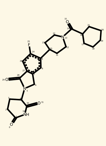 O=C1CCC(N2Cc3cc(C4CCN(C(=O)C5CCCCC5)CC4)c(F)cc3C2=O)C(=O)N1